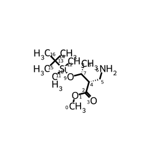 COC(=O)[C@@H](CN)[C@@H](C)O[Si](C)(C)C(C)(C)C